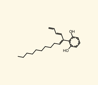 C=CC=CC(=CCCCCCCCCC)c1c(O)cccc1O